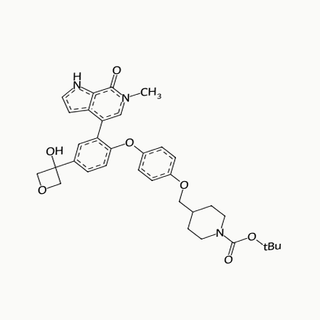 Cn1cc(-c2cc(C3(O)COC3)ccc2Oc2ccc(OCC3CCN(C(=O)OC(C)(C)C)CC3)cc2)c2cc[nH]c2c1=O